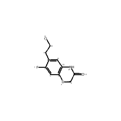 O=C1COc2cc(F)c(CCCl)cc2N1